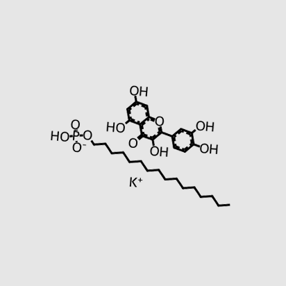 CCCCCCCCCCCCCCCCOP(=O)([O-])O.O=c1c(O)c(-c2ccc(O)c(O)c2)oc2cc(O)cc(O)c12.[K+]